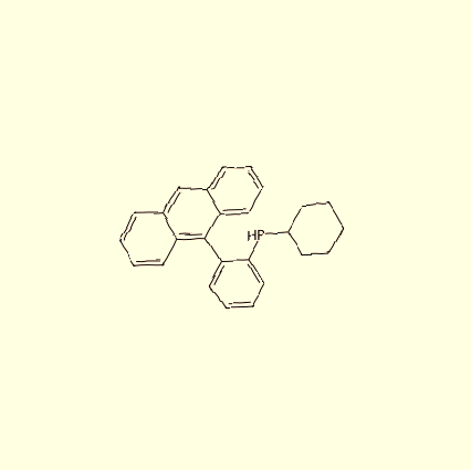 c1ccc(-c2c3ccccc3cc3ccccc23)c(PC2CCCCC2)c1